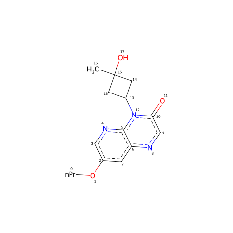 CCCOc1cnc2c(c1)ncc(=O)n2C1CC(C)(O)C1